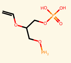 C=COC(COP)COP(=O)(O)O